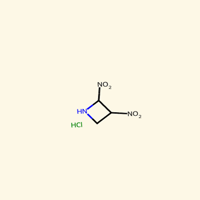 Cl.O=[N+]([O-])C1CNC1[N+](=O)[O-]